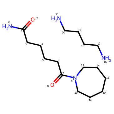 NC(=O)CCCCC(=O)N1CCCCCC1.NCCCCN